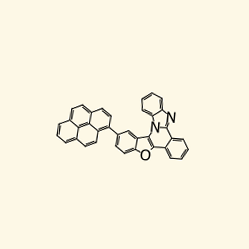 c1cc2ccc3ccc(-c4ccc5oc6c7ccccc7c7nc8ccccc8n7c6c5c4)c4ccc(c1)c2c34